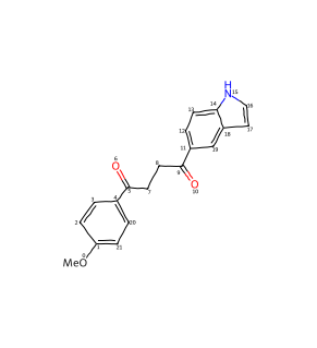 COc1ccc(C(=O)CCC(=O)c2ccc3[nH]ccc3c2)cc1